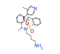 Cc1cnccc1-c1cccc(C(C)N(CCCCN)S(=O)(=O)c2ccccc2C(F)(F)F)c1